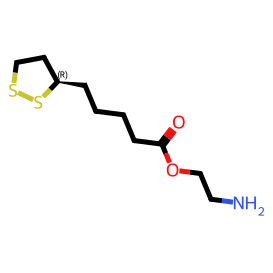 NCCOC(=O)CCCC[C@@H]1CCSS1